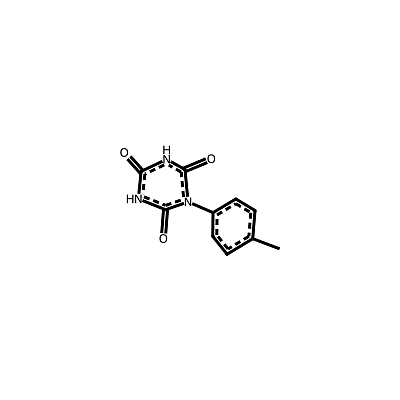 Cc1ccc(-n2c(=O)[nH]c(=O)[nH]c2=O)cc1